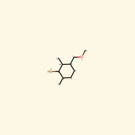 COCC1CCC(C)C(S)C1C